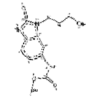 CC(C)(C)OC(=O)Nc1ccc2[nH]c(=O)n(CCCO)c2c1